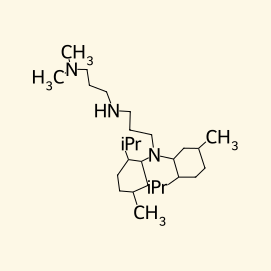 CC1CCC(C(C)C)C(N(CCCNCCCN(C)C)C2CC(C)CCC2C(C)C)C1